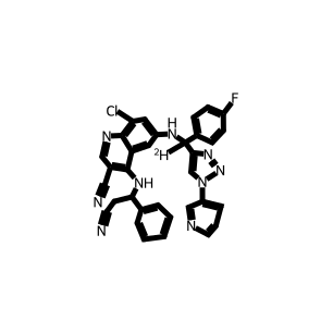 [2H]C(Nc1cc(Cl)c2ncc(C#N)c(NC(CC#N)c3ccccc3)c2c1)(c1ccc(F)cc1)c1cn(-c2cccnc2)nn1